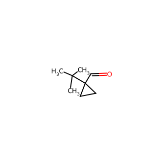 CC(C)(C)C1([C]=O)CC1